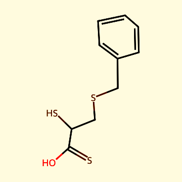 OC(=S)C(S)CSCc1ccccc1